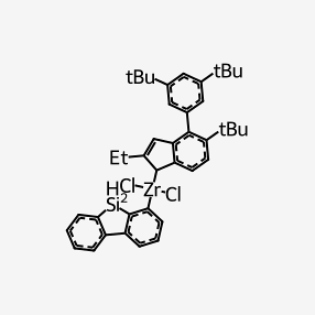 CCC1=Cc2c(ccc(C(C)(C)C)c2-c2cc(C(C)(C)C)cc(C(C)(C)C)c2)[CH]1[Zr]([Cl])([Cl])[c]1cccc2c1[SiH2]c1ccccc1-2